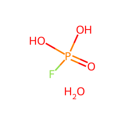 O.O=P(O)(O)F